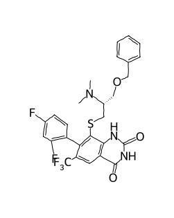 CN(C)[C@H](COCc1ccccc1)CSc1c(-c2ccc(F)cc2F)c(C(F)(F)F)cc2c(=O)[nH]c(=O)[nH]c12